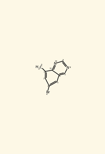 Cc1cc(Br)cc2cncnc12